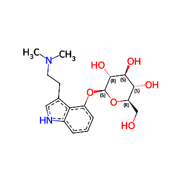 CN(C)CCc1c[nH]c2cccc(O[C@@H]3O[C@H](CO)[C@@H](O)[C@H](O)[C@H]3O)c12